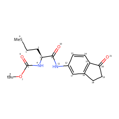 CSCC[C@H](NC(=O)OC(C)(C)C)C(=O)Nc1ccc2c(c1)CCC2=O